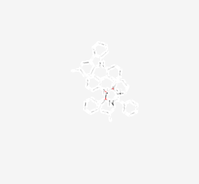 Cc1ccc2c(c1)c1ccccc1n2-c1ccccc1-c1c(-c2cc(-c3ccccc3)nc(-c3ccccc3)n2)cccc1-n1c2ccccc2c2cc(C)ccc21